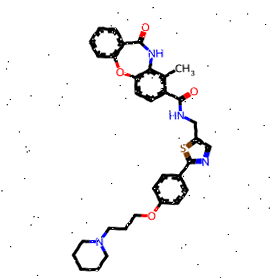 Cc1c(C(=O)NCc2cnc(-c3ccc(OCCCN4CCCCC4)cc3)s2)ccc2c1NC(=O)c1ccccc1O2